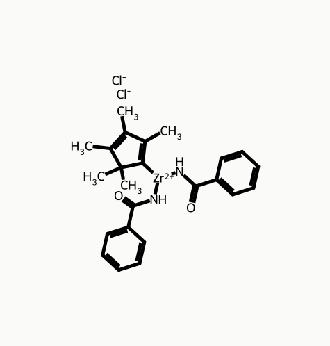 CC1=C(C)C(C)(C)[C]([Zr+2]([NH]C(=O)c2ccccc2)[NH]C(=O)c2ccccc2)=C1C.[Cl-].[Cl-]